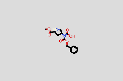 COC(=O)C1CC(N(C(=O)O)C(=O)OCc2ccccc2)CN1